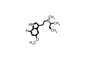 C=CC(C)N(C)CCc1c[nH]c2c(F)cc(OC)cc12